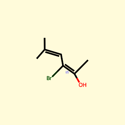 CC(C)=C/C(Br)=C(\C)O